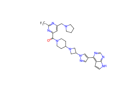 O=C(c1cc(CN2CCCC2)nc(C(F)(F)F)n1)N1CCC(N2CC(n3cc(-c4ncnc5[nH]ccc45)cn3)C2)CC1